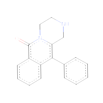 O=c1c2ccccc2c(-c2ccccc2)c2n1CCNC2